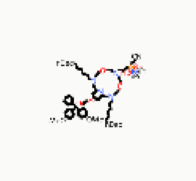 CCCCCCCCCCCCCCCCN1CCOCCN(CCCP(O)(O)(CCC#N)N(C(C)C)C(C)C)CCOCCN(CCCCCCCCCCCCCCCC)Cc2cc(OCCOC(c3ccccc3)(c3ccc(OC)cc3)c3ccc(OC)cc3)cc(n2)C1